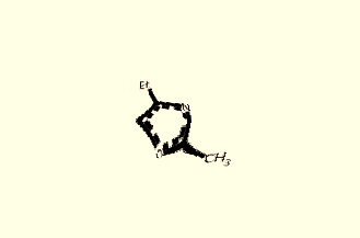 [CH2]Cc1coc(C)n1